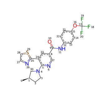 C[C@@H]1CCN(c2ncc(C(=O)Nc3ccc(OC(F)(F)F)cc3)cc2-c2nccs2)C1